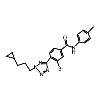 O=C(Nc1ccc(I)cc1)c1ccc(-c2nnn(CCCC3CC3)n2)c(Br)c1